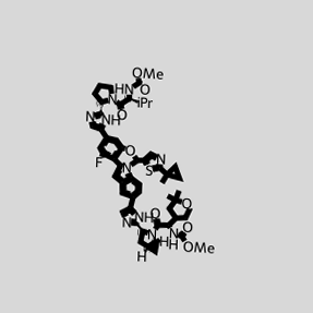 COC(=O)NC(C(=O)N1[C@@H]2C[C@@H]2C[C@H]1c1ncc(-c2ccc3c(c2)cc2n3C(c3cnc(C4(C)CC4)s3)Oc3cc(-c4cnc([C@@H]5CCCN5C(=O)[C@@H](NC(=O)OC)C(C)C)[nH]4)cc(F)c3-2)[nH]1)C1CCOC(C)(C)C1